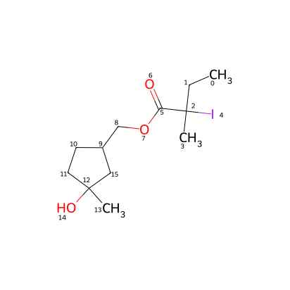 CCC(C)(I)C(=O)OCC1CCC(C)(O)C1